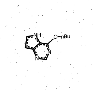 CCCCOc1ncnc2cc[nH]c12